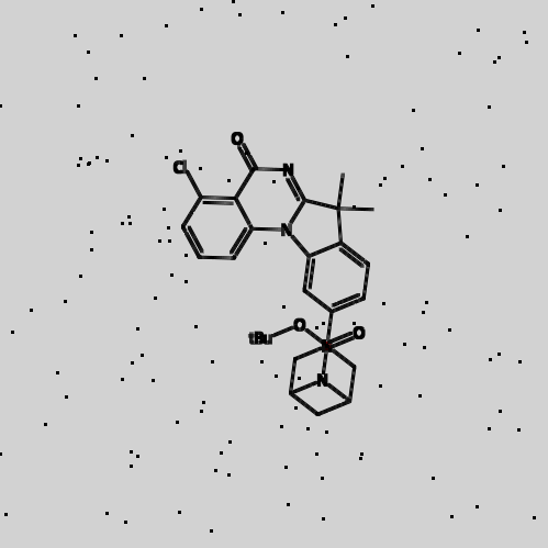 CC(C)(C)OC(=O)N1C2CC1CN(c1ccc3c(c1)-n1c(nc(=O)c4c(Cl)cccc41)C3(C)C)C2